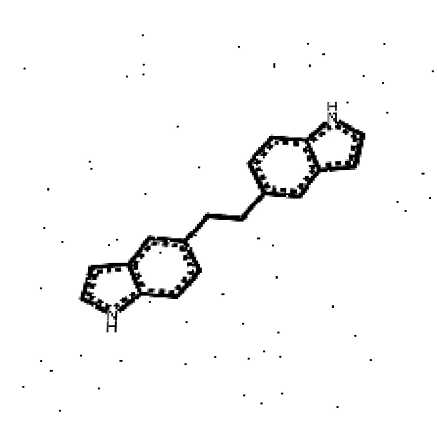 [CH](Cc1ccc2[nH]ccc2c1)c1ccc2[nH]ccc2c1